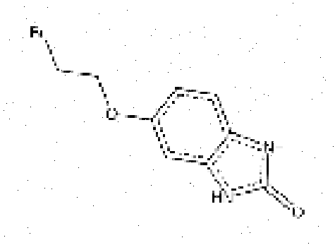 O=c1[nH]c2ccc(OCCBr)cc2[nH]1